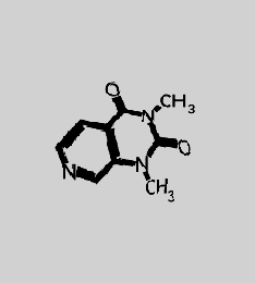 Cn1c(=O)c2ccncc2n(C)c1=O